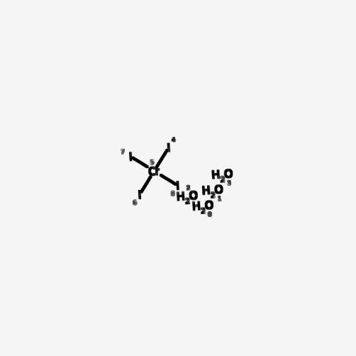 O.O.O.O.[I][Cr]([I])([I])[I]